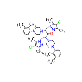 Cc1cccc(N2CCN(C(Cn3nc(C(F)(F)F)c(Cl)c3C)C(=O)C(Cn3nc(C(F)(F)F)c(Cl)c3C)N3CCN(c4cccc(C)c4C)CC3)CC2)c1C